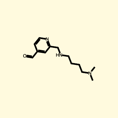 CN(C)CCCCNCc1cc(C=O)ccn1